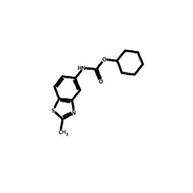 Cc1nc2cc(NC(=O)OC3CCCCC3)ccc2s1